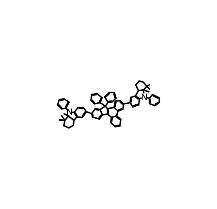 CC1(C)CCCC2c3cc(-c4ccc5c(c4)C(c4ccccc4)(c4ccccc4)c4c-5c5ccccc5c5cc(-c6ccc7c(c6)C6CCCC(C)(C)C6(C)N7c6ccccc6)ccc45)ccc3N(c3ccccc3)C21C